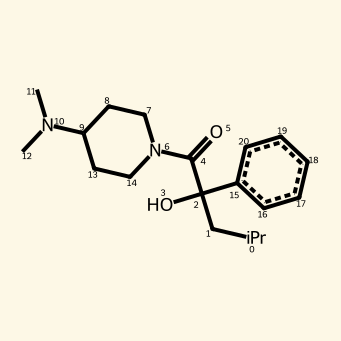 CC(C)CC(O)(C(=O)N1CCC(N(C)C)CC1)c1ccccc1